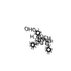 CN(CC(Oc1ccc(C=O)cc1)N(C)C(=O)OCc1ccccc1)C(=O)OCc1ccccc1